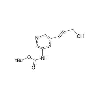 CC(C)(C)OC(=O)Nc1cncc(C#CCO)c1